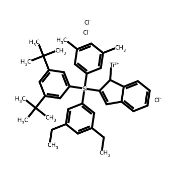 CCc1cc(CC)cc([Si](C2=Cc3ccccc3[CH]2[Ti+3])(c2cc(C)cc(C)c2)c2cc(C(C)(C)C)cc(C(C)(C)C)c2)c1.[Cl-].[Cl-].[Cl-]